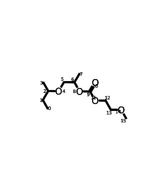 CCC(C)OCC(C)OC(=O)OCCOC